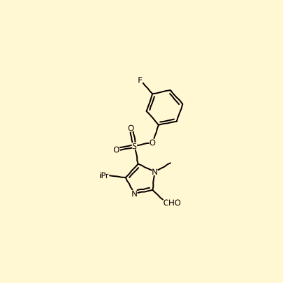 CC(C)c1nc(C=O)n(C)c1S(=O)(=O)Oc1cccc(F)c1